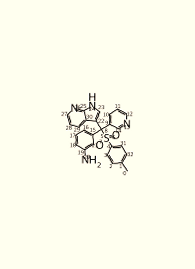 Cc1ccc(S(=O)(=O)C(c2cccnc2)(c2cccc(N)c2)c2c[nH]c3ncccc23)cc1